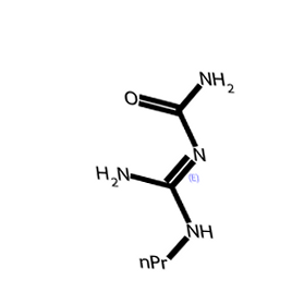 CCCN/C(N)=N/C(N)=O